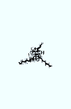 CCCCCCCCCC(CCCCCCCCC)(C(=O)O)C(O)(C(=O)O)C(CCCCC)C(=O)O